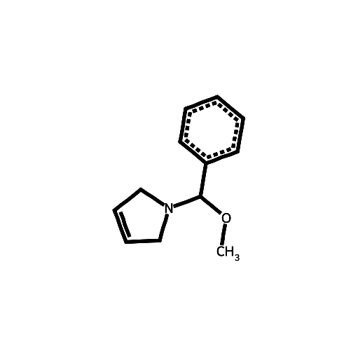 COC(c1ccccc1)N1CC=CC1